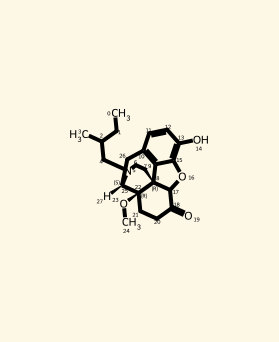 CCC(C)CN1CC[C@@]23c4c5ccc(O)c4OC2C(=O)CC[C@]3(OC)[C@@H]1C5